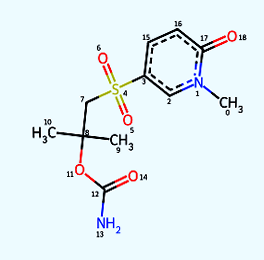 Cn1cc(S(=O)(=O)CC(C)(C)OC(N)=O)ccc1=O